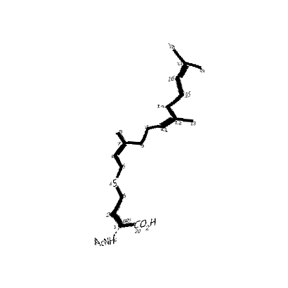 CC(=O)N[C@H](CCSCC=C(C)CCC=C(C)CCC=C(C)C)C(=O)O